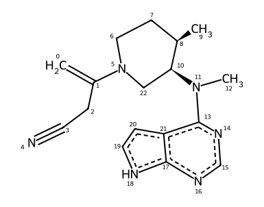 C=C(CC#N)N1CC[C@@H](C)[C@@H](N(C)c2ncnc3[nH]ccc23)C1